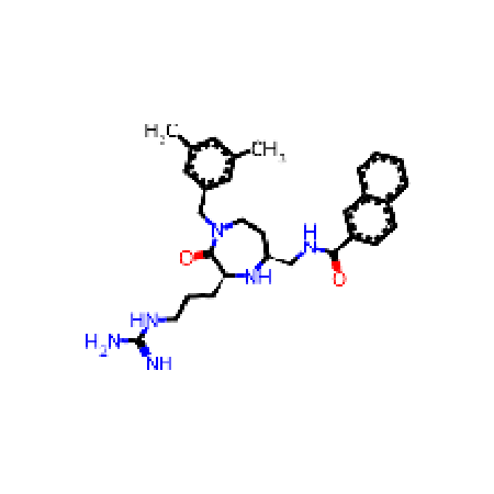 Cc1cc(C)cc(CN2CC[C@@H](CNC(=O)c3ccc4ccccc4c3)N[C@@H](CCCNC(=N)N)C2=O)c1